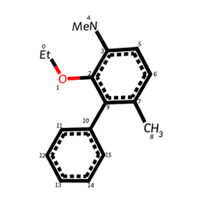 CCOc1c(NC)ccc(C)c1-c1ccccc1